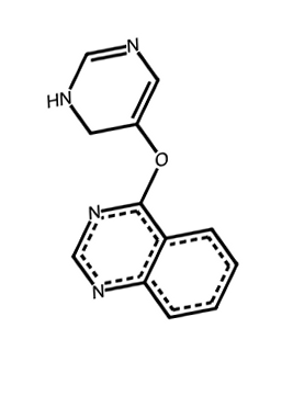 C1=NC=C(Oc2ncnc3ccccc23)CN1